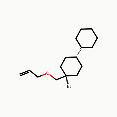 C=CCOC[C@]1(CC)CC[C@H](C2CCCCC2)CC1